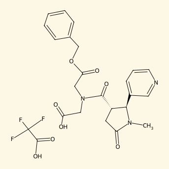 CN1C(=O)C[C@H](C(=O)N(CC(=O)O)CC(=O)OCc2ccccc2)[C@H]1c1cccnc1.O=C(O)C(F)(F)F